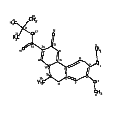 COc1cc2c(cc1OC)-c1cc(=O)c(C(=O)OC(C)(C)C)cn1N(C)C2